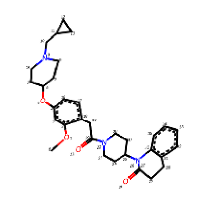 COc1cc(OC2CCN(CC3CC3)CC2)ccc1CC(=O)N1CCC(N2C(=O)CCc3ccccc32)CC1